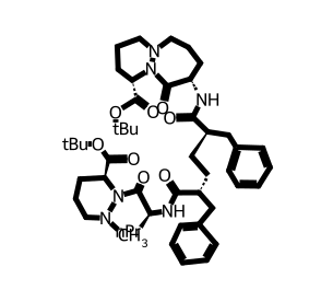 CCC[C@H](NC(=O)[C@H](CC[C@H](Cc1ccccc1)C(=O)N[C@H]1CCCN2CCC[C@@H](C(=O)OC(C)(C)C)N2C1=O)Cc1ccccc1)C(=O)N1[C@H](C(=O)OC(C)(C)C)CCCN1C